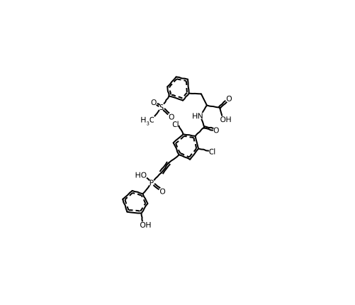 CS(=O)(=O)c1cccc(CC(NC(=O)c2c(Cl)cc(C#CP(=O)(O)c3cccc(O)c3)cc2Cl)C(=O)O)c1